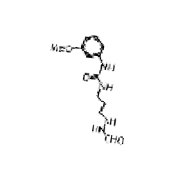 COc1cccc(NC(=O)NCCCNNC=O)c1